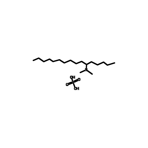 CCCCCCCCCCC(CCCCC)N(C)C.O=S(=O)(O)O